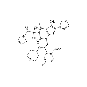 COc1ccc(F)cc1[C@H](Cn1c(=O)n(C(C)(C)C(=O)N2CC=CC2)c(=O)c2c(C)c(-n3cccn3)sc21)OC1CCOCC1